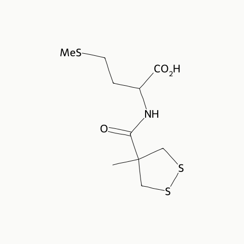 CSCCC(NC(=O)C1(C)CSSC1)C(=O)O